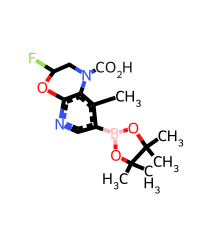 Cc1c(B2OC(C)(C)C(C)(C)O2)cnc2c1N(C(=O)O)CC(F)O2